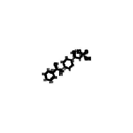 O=C(N[C@H]1CC[C@@H](C(=O)CP(=O)(O)O)CC1)c1ccccc1